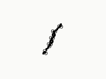 C=CC(=O)OCCCCOC(=O)Oc1ccc(C(=O)Oc2ccc(C(=O)OCCCCOC(=O)C=C)cc2)cc1